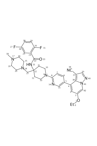 CCOc1cc(-c2ccc(N3CCC(CN4CCN(C)CC4)(NC(=O)c4cc(F)ccc4F)CC3)nc2)c2c(C#N)cnn2c1